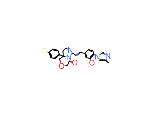 COc1cc(/C=C/C2=NCCC3(c4ccc(F)cc4)COCC(=O)N23)ccc1-n1cnc(C)c1